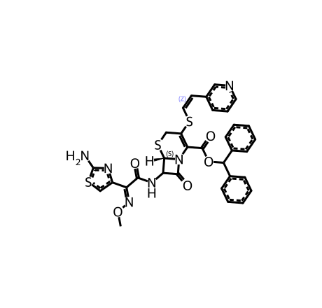 CON=C(C(=O)NC1C(=O)N2C(C(=O)OC(c3ccccc3)c3ccccc3)=C(S/C=C\c3cccnc3)CS[C@@H]12)c1csc(N)n1